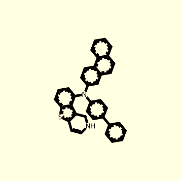 C1=Cc2sc3cccc(N(c4ccc(-c5ccccc5)cc4)c4ccc5c(ccc6ccccc65)c4)c3c2CN1